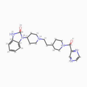 O=C(c1cnccn1)N1CCC(CCN2CCC(n3c(=O)[nH]c4ccccc43)CC2)CC1